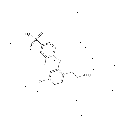 CS(=O)(=O)c1ccc(Oc2cc(Cl)ccc2CCC(=O)O)c(F)c1